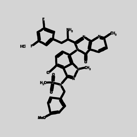 COc1ccc(CN(c2nn(C)c3c(-n4c(C(N)Cc5cc(F)cc(F)c5)nc5nc(C)ccc5c4=O)ccc(Cl)c23)S(C)(=O)=O)cc1.Cl